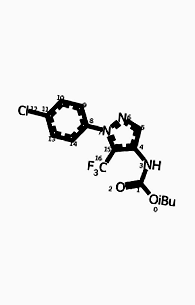 CC(C)COC(=O)Nc1cnn(-c2ccc(Cl)cc2)c1C(F)(F)F